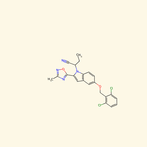 CCC(C#N)n1c(-c2nc(C)no2)cc2cc(OCc3c(Cl)cccc3Cl)ccc21